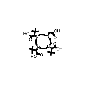 CC(C)(C)C(C(=O)O)N1CCN(CC(=O)O)CCN(C(C(=O)O)C(C)(C)C)CCN(C(C(=O)O)C(C)(C)C)CC1